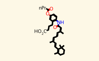 CCCC(=O)Oc1ccc(NC(=O)C=C(C)C=CC=C(C)C=CC2=C(C)CCCC2(C)C)c(CCCC(=O)O)c1